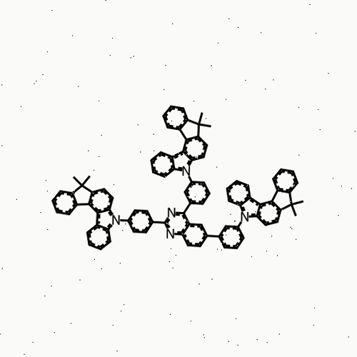 CC1(C)c2ccccc2-c2c1ccc1c2c2ccccc2n1-c1ccc(-c2nc(-c3cccc(-n4c5ccccc5c5c6c(ccc54)C(C)(C)c4ccccc4-6)c3)c3cc(-c4cccc(-n5c6ccccc6c6c7c(ccc65)C(C)(C)c5ccccc5-7)c4)ccc3n2)cc1